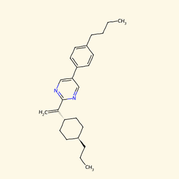 C=C(c1ncc(-c2ccc(CCCC)cc2)cn1)[C@H]1CC[C@H](CCC)CC1